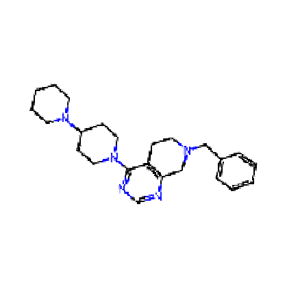 c1ccc(CN2CCc3c(ncnc3N3CCC(N4CCCCC4)CC3)C2)cc1